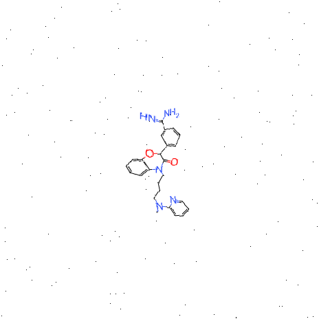 CN(CCCCN1C(=O)C(c2cccc(C(=N)N)c2)Oc2ccccc21)c1ccccn1